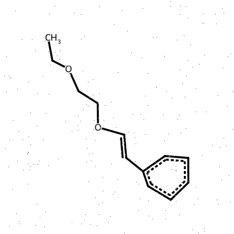 CCOCCOC=Cc1ccccc1